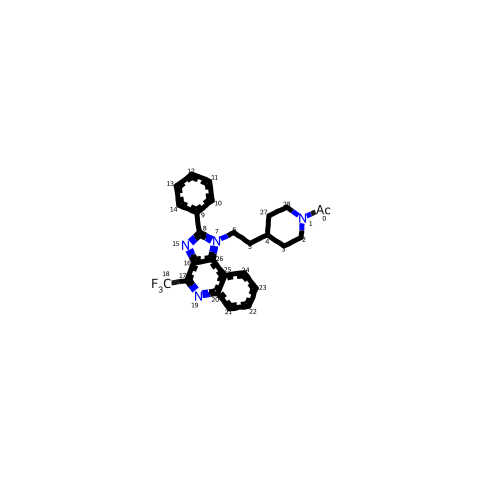 CC(=O)N1CCC(CCn2c(-c3ccccc3)nc3c(C(F)(F)F)nc4ccccc4c32)CC1